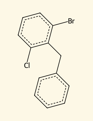 Clc1cccc(Br)c1Cc1ccccc1